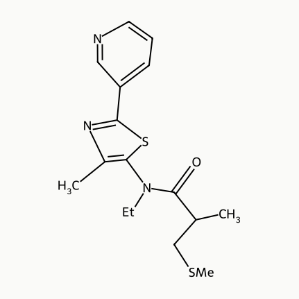 CCN(C(=O)C(C)CSC)c1sc(-c2cccnc2)nc1C